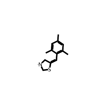 Cc1cc(C)c(/C=C2\C[N]CS2)c(C)c1